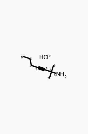 CCCC#CC(C)(C)N.Cl